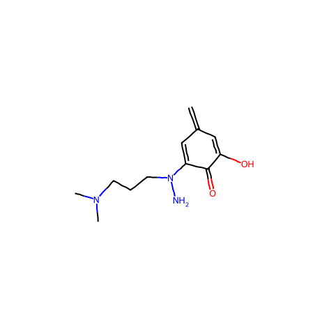 C=C1C=C(O)C(=O)C(N(N)CCCN(C)C)=C1